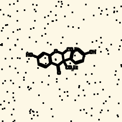 CCOC(=O)C1Oc2cc(O)ccc2C(=O)C1(C(=O)OCC)c1ccc(O)cc1